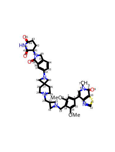 COc1cc(-c2cn(C)c(=O)c3scnc23)cc(OC)c1CN1CC(CN2CCC3(CC2)CN(c2ccc4c(c2)C(=O)N(C2CCC(=O)NC2=O)C4)C3)C1